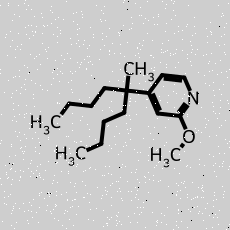 CCCCC(C)(CCCC)c1ccnc(OC)c1